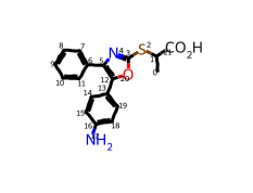 CC(Sc1nc(-c2ccccc2)c(-c2ccc(N)cc2)o1)C(=O)O